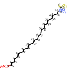 OCCCCCCCCCCCCCCCCCCCCCCCCNC(=S)S